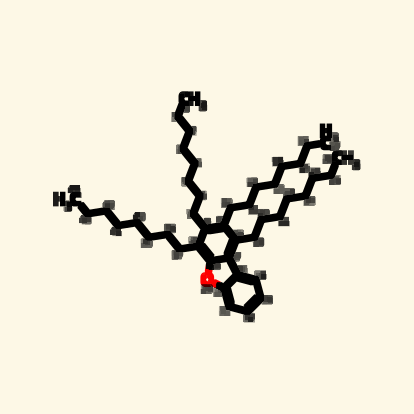 CCCCCCCCc1c(CCCCCCCC)c(CCCCCCCC)c2c(oc3ccccc32)c1CCCCCCCC